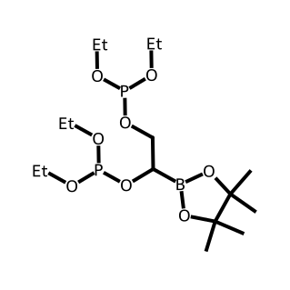 CCOP(OCC)OCC(OP(OCC)OCC)B1OC(C)(C)C(C)(C)O1